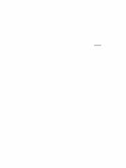 Cc1cc(C=CC(=O)c2ccccc2)ccc1OC1CCCCO1